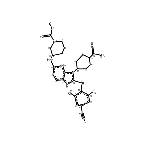 COC(=O)N1CCC[C@@H](Nc2ncc3nc(Nc4c(Cl)cc(C#N)cc4Cl)n(C4CCC(C(N)=O)CC4)c3n2)C1